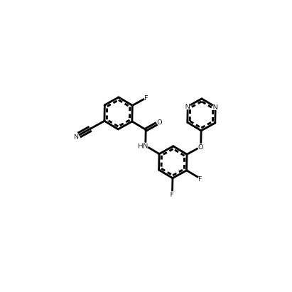 N#Cc1ccc(F)c(C(=O)Nc2cc(F)c(F)c(Oc3cncnc3)c2)c1